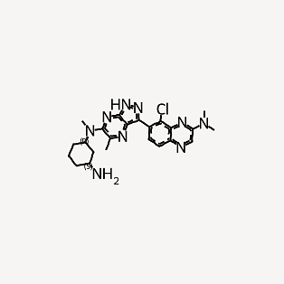 Cc1nc2c(-c3ccc4ncc(N(C)C)nc4c3Cl)n[nH]c2nc1N(C)[C@@H]1CCC[C@H](N)C1